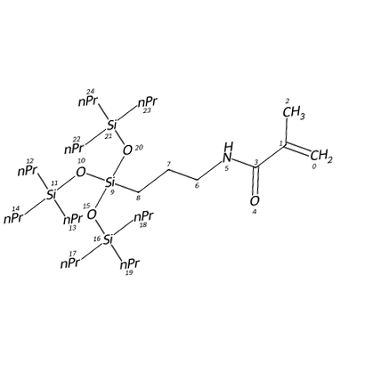 C=C(C)C(=O)NCCC[Si](O[Si](CCC)(CCC)CCC)(O[Si](CCC)(CCC)CCC)O[Si](CCC)(CCC)CCC